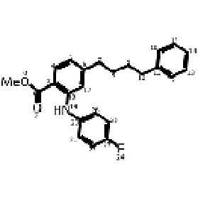 COC(=O)c1ccc(CCCCc2ccccc2)cc1Nc1ccc(F)cc1